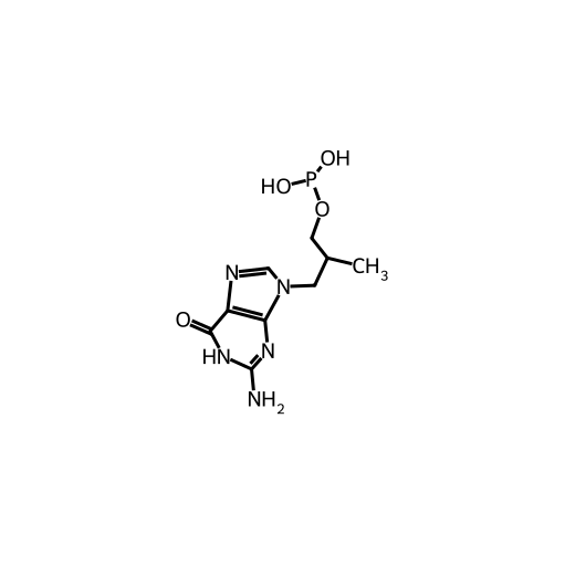 CC(COP(O)O)Cn1cnc2c(=O)[nH]c(N)nc21